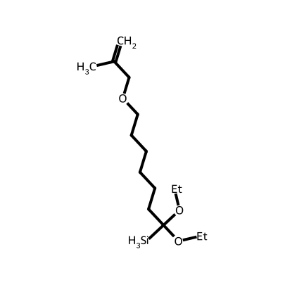 C=C(C)COCCCCCCC([SiH3])(OCC)OCC